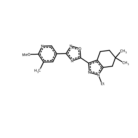 CCn1nc(-c2nc(-c3cnc(OC)c(C)c3)no2)c2c1CC(C)(C)CC2